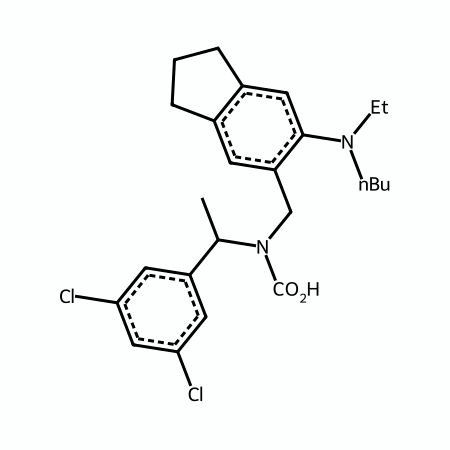 CCCCN(CC)c1cc2c(cc1CN(C(=O)O)C(C)c1cc(Cl)cc(Cl)c1)CCC2